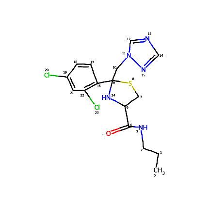 CCCNC(=O)C1CSC(Cn2cncn2)(c2ccc(Cl)cc2Cl)N1